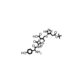 CC(C)(C)OC(=O)Cc1nn[nH]c1SCC1=C(C(=O)O)N2C(=O)C(NC(=O)C(N)c3ccc(O)cc3)[C@@H]2SC1